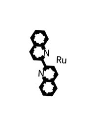 [Ru].c1ccc2nc(-c3ccc4ccccc4n3)ccc2c1